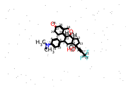 CN(C)c1ccc(C2C[C@@]3(C)[C@@H](CC[C@@]3(O)C#CC(F)(F)F)[C@@H]3OCC4=CC(=O)CCC4=C23)cc1